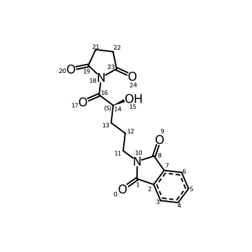 O=C1c2ccccc2C(=O)N1CCC[C@H](O)C(=O)N1C(=O)CCC1=O